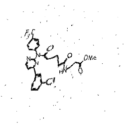 COC(=O)C[C@H](C)NC(=O)CCCC(=O)N(c1ccc(C(F)(F)F)cc1)c1nccc(-c2cccc(Cl)c2)n1